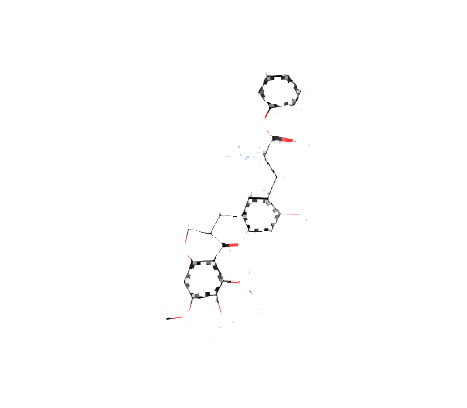 COc1ccc(CC2COc3cc(OC)c(OC)c(OC)c3C2=O)cc1C[C@H](N)C(=O)Oc1ccccc1